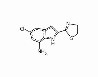 Nc1cc(Cl)cc2cc(C3=NCCS3)[nH]c12